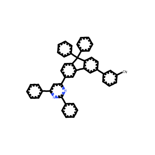 N#Cc1cccc(-c2ccc3c(c2)-c2cc(-c4cc(-c5ccccc5)nc(-c5ccccc5)n4)ccc2C3(c2ccccc2)c2ccccc2)c1